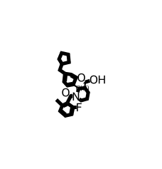 Cc1cccc(F)c1C(=O)N1CCC[C@H](C(=O)O)[C@@H]1c1ccc(CC2CCCC2)cc1